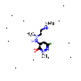 CNNCCN(C)Nc1cc(Cl)nn(C)c1=O